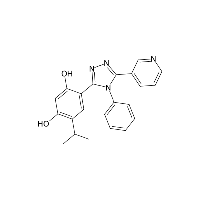 CC(C)c1cc(-c2nnc(-c3cccnc3)n2-c2ccccc2)c(O)cc1O